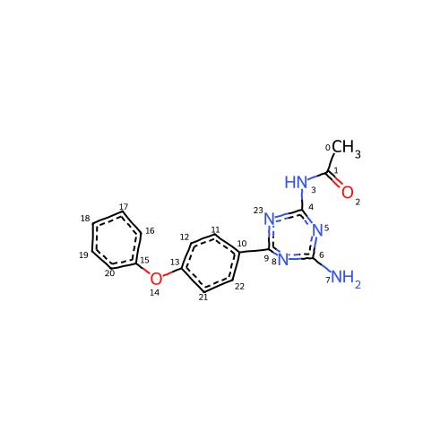 CC(=O)Nc1nc(N)nc(-c2ccc(Oc3ccccc3)cc2)n1